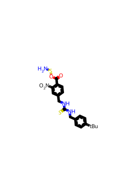 CC(C)(C)c1ccc(CNC(=S)NCc2ccc(C(=O)OSN)c([N+](=O)[O-])c2)cc1